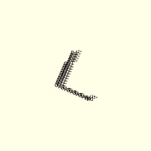 CC(=O)[O-].CC(=O)[O-].CC(=O)[O-].CC(=O)[O-].CC(=O)[O-].CC(=O)[O-].CC(=O)[O-].CC(=O)[O-].CC(=O)[O-].CC(=O)[O-].CC(=O)[O-].CC(=O)[O-].CC(=O)[O-].CC(=O)[O-].[Pd+2].[Pd+2].[Pd+2].[Pd+2].[Pd+2].[Pd+2].[Pd+2]